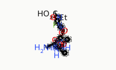 CCn1cc(C(=O)O)c(=O)c2cc(F)c(N3CCN(C(=O)OCc4ccc(NC(=O)[C@H](CCCCN)N5C=C([C@H](Cc6ccccc6)NC(=O)OCc6ccccc6)NN5)cc4)CC3)cc21